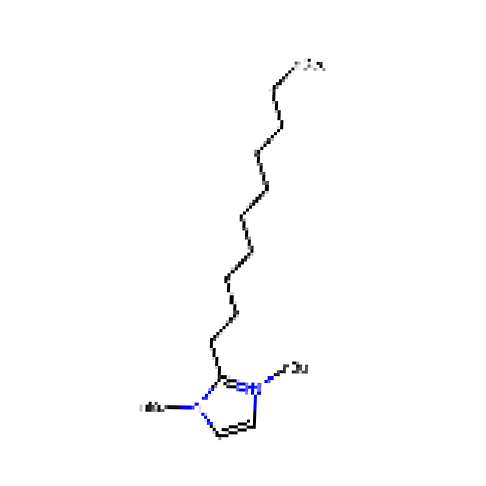 CCCCCCCCCCCCCCCCCCCc1n(CCCC)cc[n+]1CCCC